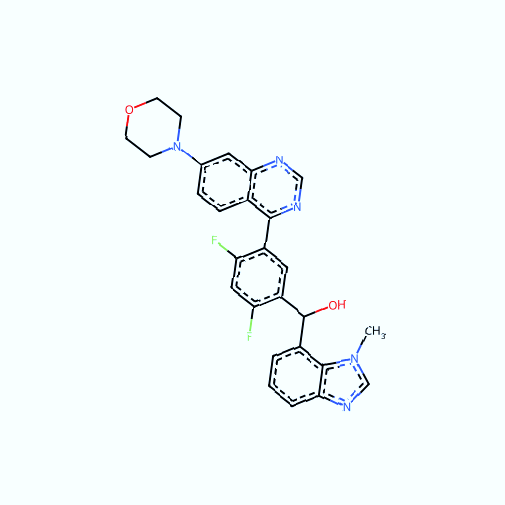 Cn1cnc2cccc(C(O)c3cc(-c4ncnc5cc(N6CCOCC6)ccc45)c(F)cc3F)c21